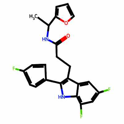 CC(NC(=O)CCc1c(-c2ccc(F)cc2)[nH]c2c(F)cc(F)cc12)c1ccco1